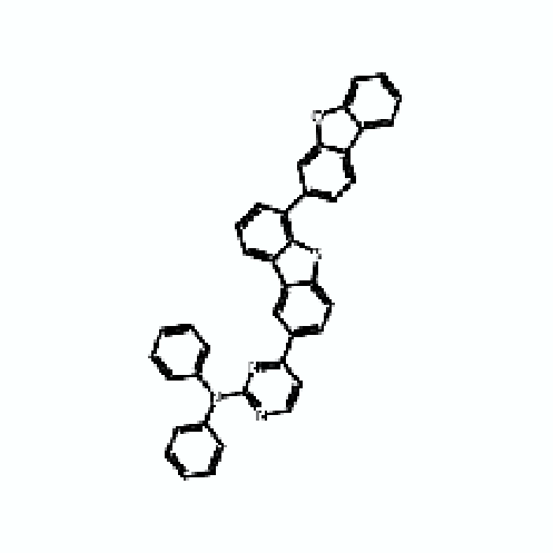 c1ccc(N(c2ccccc2)c2nccc(-c3ccc4sc5c(-c6ccc7c(c6)oc6ccccc67)cccc5c4c3)n2)cc1